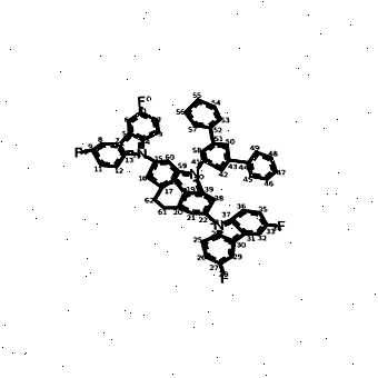 Fc1ccc2c(c1)c1cc(F)ccc1n2-c1cc2c3c4c(cc(-n5c6ccc(F)cc6c6cc(F)ccc65)cc4n(-c4cc(-c5ccccc5)cc(-c5ccccc5)c4)c3c1)CC2